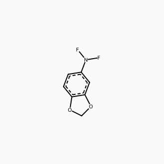 FN(F)c1ccc2c(c1)OCO2